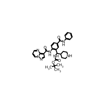 CC(C)(C)OC(=O)NC(c1cc(C(=O)Nc2ccccc2)ccc1NC(=O)c1cnn2cccnc12)C1CCNCC1